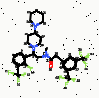 CN(CC(c1cccc(C(F)(F)F)c1F)N1CCC(N2CCCCC2)CC1)C(=O)Cc1cc(C(F)(F)F)cc(C(F)(F)F)c1